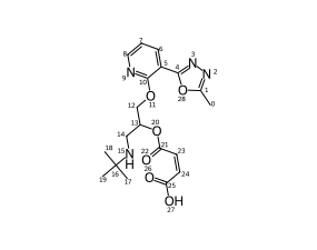 Cc1nnc(-c2cccnc2OCC(CNC(C)(C)C)OC(=O)/C=C\C(=O)O)o1